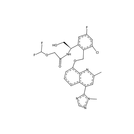 Cc1cc(-c2ncnn2C)c2cccc(OCc3c(Cl)cc(F)cc3[C@H](CO)NC(=O)COC(F)F)c2n1